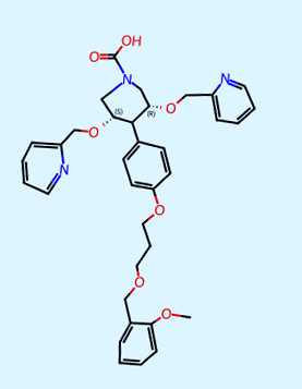 COc1ccccc1COCCCOc1ccc(C2[C@@H](OCc3ccccn3)CN(C(=O)O)C[C@H]2OCc2ccccn2)cc1